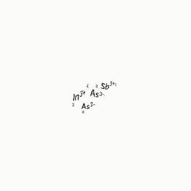 [As-3].[As-3].[In+3].[Sb+3]